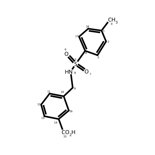 Cc1ccc(S(=O)(=O)NCc2cccc(C(=O)O)c2)cc1